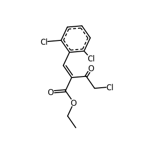 CCOC(=O)C(=Cc1c(Cl)cccc1Cl)C(=O)CCl